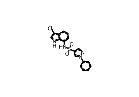 O=S(=O)(Nc1cccc2c(Cl)c[nH]c12)c1cnn(-c2ccccc2)c1